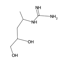 CC(CC(O)CO)NC(=N)N